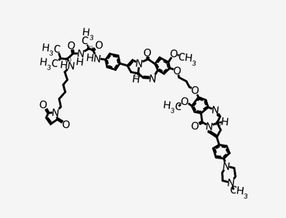 COc1cc2c(cc1OCCCOc1cc3c(cc1OC)C(=O)N1C=C(c4ccc(N5CCN(C)CC5)cc4)C[C@H]1C=N3)N=C[C@@H]1CC(c3ccc(NC(=O)[C@H](C)NC(=O)[C@@H](NCCCCCCN4C(=O)C=CC4=O)C(C)C)cc3)=CN1C2=O